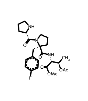 COC(=O)[C@H](NC(=O)[C@]1(Cc2ccc(F)cc2)CCCN1C(=O)[C@@H]1CCCN1)[C@@H](C)OC(C)=O